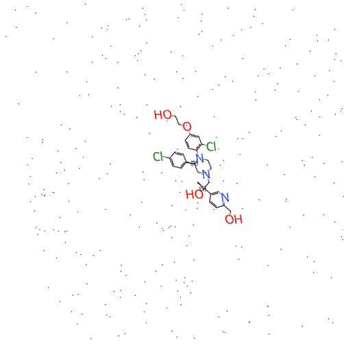 C[C@@](O)(CN1CCN(c2ccc(OCCO)cc2Cl)[C@H](c2ccc(Cl)cc2)C1)c1ccc(CO)nc1